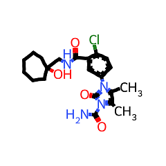 Cc1c(C)n(-c2ccc(Cl)c(C(=O)NCC3(O)CCCCCC3)c2)c(=O)n1C(N)=O